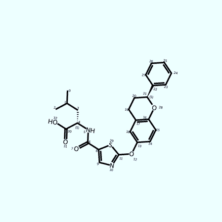 CC(C)C[C@H](NC(=O)c1cnc(Oc2ccc3c(c2)CC[C@@H](c2ccccc2)O3)s1)C(=O)O